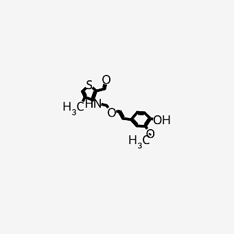 COc1cc(C=COCNc2c(C)csc2C=O)ccc1O